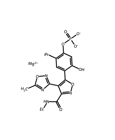 CCNC(=O)c1noc(-c2cc(C(C)C)c(OP(=O)([O-])[O-])cc2O)c1-c1noc(C)n1.[Mg+2]